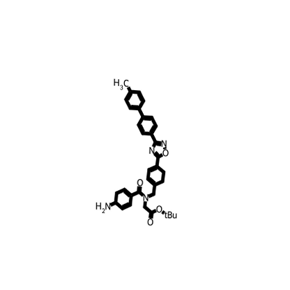 Cc1ccc(-c2ccc(-c3noc(C4=CC=C(CN(CC(=O)OC(C)(C)C)C(=O)C5=CCC(N)C=C5)CC4)n3)cc2)cc1